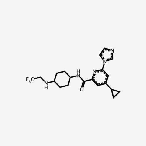 O=C(NC1CCC(NCC(F)(F)F)CC1)c1cc(C2CC2)cc(-n2ccnc2)n1